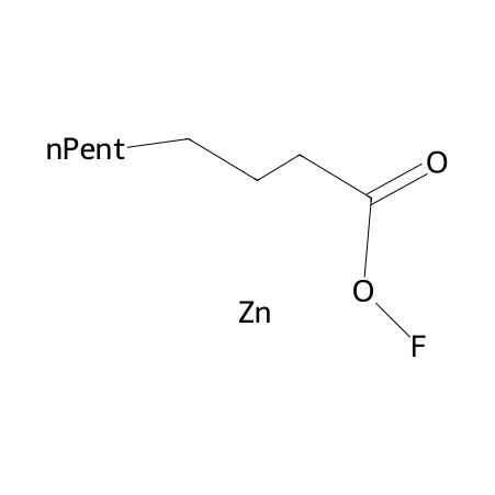 CCCCCCCCC(=O)OF.[Zn]